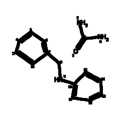 NC(N)=O.c1ccc(CNc2ccccc2)cc1